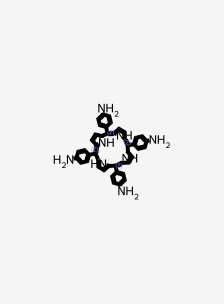 Nc1ccc(/C2=C3\C=CC(N3)/C(c3ccc(N)cc3)=c3/cc/c([nH]3)=C(\c3ccc(N)cc3)C3C=C/C(=C(\c4ccc(N)cc4)c4ccc2[nH]4)N3)cc1